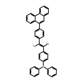 [2H]/C(=C(/[2H])c1ccc(N(c2ccccc2)c2ccccc2)cc1)c1ccc(-c2cc3ccccc3c3ccccc23)cc1